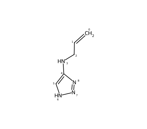 C=CCNc1c[nH]nn1